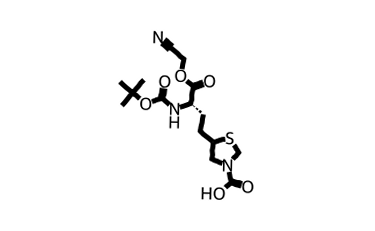 CC(C)(C)OC(=O)N[C@@H](CCC1CN(C(=O)O)CS1)C(=O)OCC#N